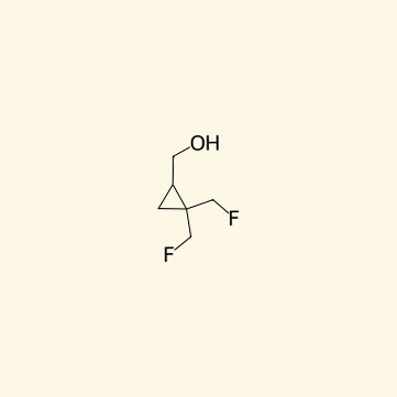 OCC1CC1(CF)CF